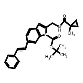 CC(C)(C)OC(=O)n1c(CNC(=O)C2(C)CC2)cc2ccc(/C=C/c3ccccc3)cc21